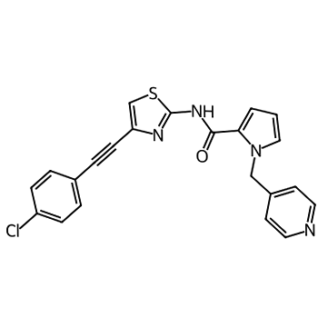 O=C(Nc1nc(C#Cc2ccc(Cl)cc2)cs1)c1cccn1Cc1ccncc1